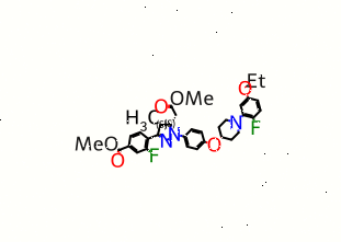 CCOc1ccc(F)c(N2CCC(Oc3ccc(N4N=C(c5ccc(C(=O)OC)cc5F)[C@@H](C)[C@@H]4CC(=O)OC)cc3)CC2)c1